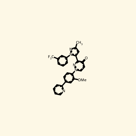 COc1cc(-c2ccccn2)ccc1-n1ccc(=O)c(-c2cc(C)nn2-c2cccc(C(F)(F)F)c2)n1